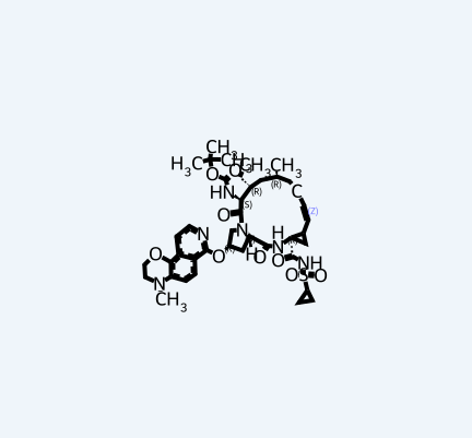 CC[C@@H]1C[C@H](C)CC/C=C\C2C[C@@]2(C(=O)NS(=O)(=O)C2CC2)NC(=O)[C@@H]2C[C@@H](Oc3nccc4c5c(ccc34)N(C)CCO5)CN2C(=O)[C@H]1NC(=O)OC(C)(C)C